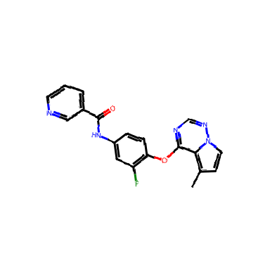 Cc1ccn2ncnc(Oc3ccc(NC(=O)c4cccnc4)cc3F)c12